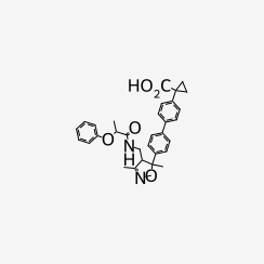 CC1=NOC(C)(c2ccc(-c3ccc(C4(C(=O)O)CC4)cc3)cc2)C1CNC(=O)C(C)Oc1ccccc1